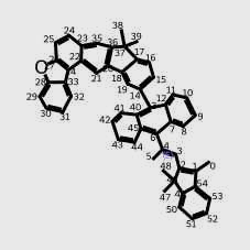 CC1=C(/C=C(\C)c2c3ccccc3c(-c3ccc4c(c3)-c3cc5c(ccc6oc7ccccc7c65)cc3C4(C)C)c3ccccc23)C(C)(C)c2ccccc21